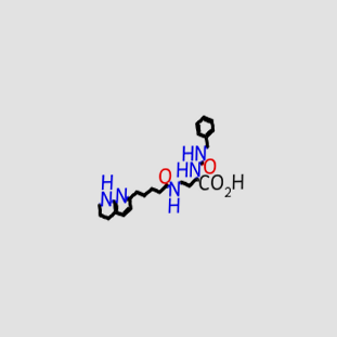 O=C(CCCCc1ccc2c(n1)NCCC2)NCCC(NC(=O)NCc1ccccc1)C(=O)O